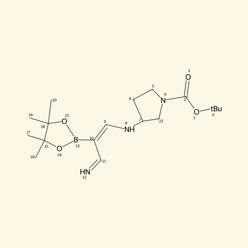 CC(C)(C)OC(=O)N1CCC(N/C=C(\C=N)B2OC(C)(C)C(C)(C)O2)C1